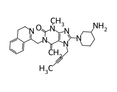 C=C1c2c(nc(N3CCCC(N)C3)n2CC#CC)N(C)C(=O)N1CC1=NCCc2ccccc21